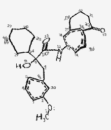 COc1cccc(CC(O)(C(=O)Nc2ccc3c(c2)CCCC3=O)C2CCCCC2)c1